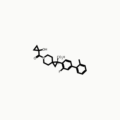 Cc1ccccc1-c1ccc([C@]2(C(=O)O)CC23CCN(C(=O)C2(O)CC2)CC3)c(F)c1